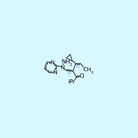 C/C=C(\C(=C/N(N)c1ncccn1)C(=O)C(C)C)C1CC1